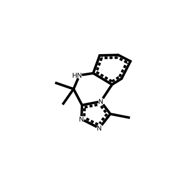 Cc1nnc2n1-c1ccccc1NC2(C)C